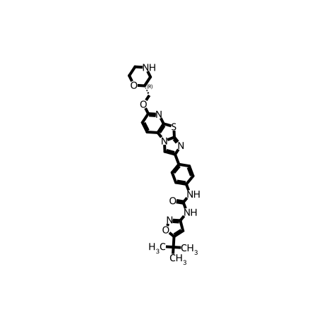 CC(C)(C)c1cc(NC(=O)Nc2ccc(-c3cn4c(n3)sc3nc(OC[C@H]5CNCCO5)ccc34)cc2)no1